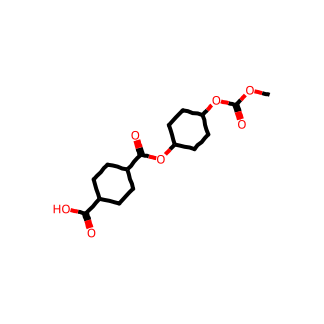 COC(=O)OC1CCC(OC(=O)C2CCC(C(=O)O)CC2)CC1